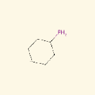 PC1CC[CH]CC1